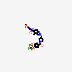 COCCNC(=O)c1ccc2nn(CC3CCN(C(=O)c4ccc(S(=O)(=O)C(F)(F)F)cc4)CC3)cc2c1C